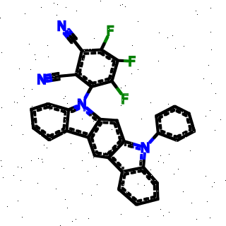 N#Cc1c(F)c(F)c(F)c(-n2c3ccccc3c3cc4c5ccccc5n(-c5ccccc5)c4cc32)c1C#N